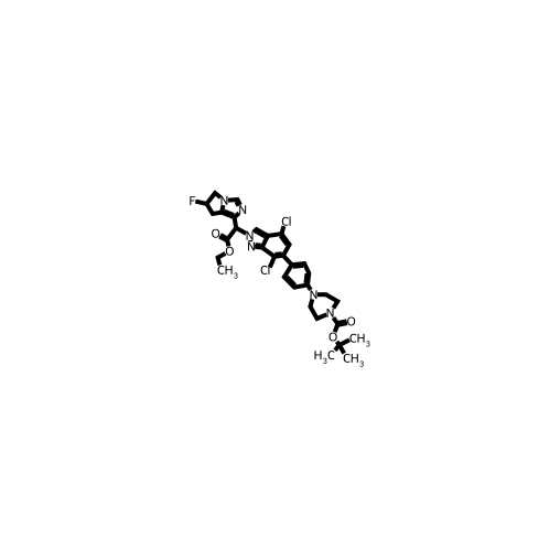 CCOC(=O)C(c1ncn2c1CC(F)C2)n1cc2c(Cl)cc(-c3ccc(N4CCN(C(=O)OC(C)(C)C)CC4)cc3)c(Cl)c2n1